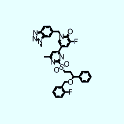 Cc1cc(-c2cc(F)c(=O)n(Cc3ccc4nnn(C)c4c3)c2)nc(S(=O)(=O)CCC(OCc2ccccc2F)c2ccccc2)n1